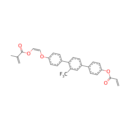 C=CC(=O)Oc1ccc(-c2ccc(-c3ccc(O/C=C\OC(=O)C(=C)C)cc3)c(C(F)(F)F)c2)cc1